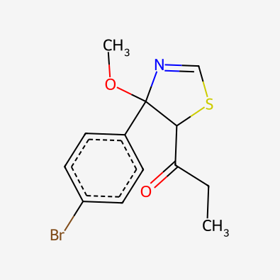 CCC(=O)C1SC=NC1(OC)c1ccc(Br)cc1